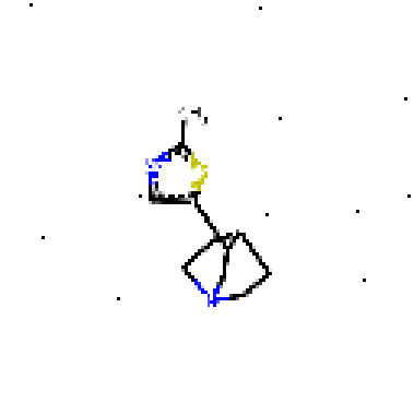 Cc1ncc(C2CN3CCC2CC3)s1